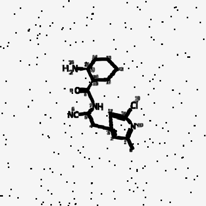 Cc1cc(CC(C#N)NC(=O)[C@@H]2CCCC[C@@H]2N)cc(Cl)n1